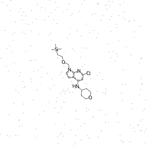 C[Si](C)(C)CCOCn1ccc2c(NC3CCOCC3)cc(Cl)nc21